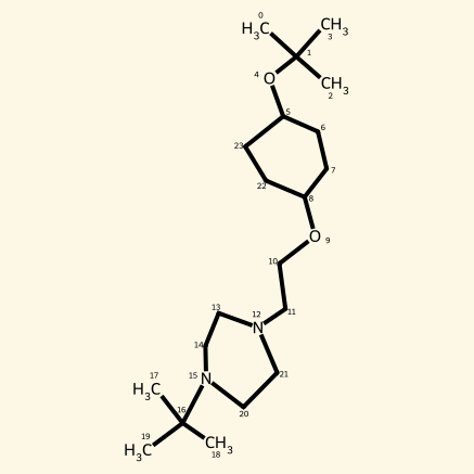 CC(C)(C)OC1CCC(OCCN2CCN(C(C)(C)C)CC2)CC1